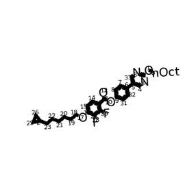 CCCCCCCCOc1ncc(-c2ccc(OC(=O)c3ccc(OCCCCCCC4CC4)c(F)c3F)cc2)cn1